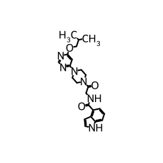 CC(C)COc1cc(N2CCN(C(=O)CNC(=O)c3cccc4[nH]ccc34)CC2)ncn1